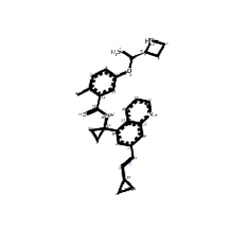 Cc1ccc(OC([SiH3])[C@@H]2CCN2)cc1C(=O)NC1(c2cc(/C=C/C3CC3)cc3ncccc23)CC1